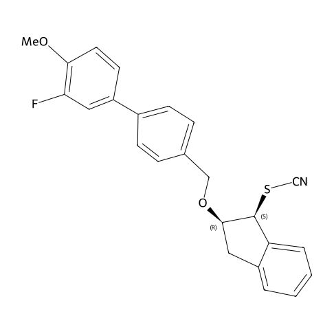 COc1ccc(-c2ccc(CO[C@@H]3Cc4ccccc4[C@@H]3SC#N)cc2)cc1F